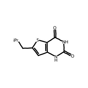 CC(C)Cc1cc2[nH]c(=O)[nH]c(=O)c2s1